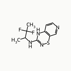 CC(NC1=NSc2cnccc2N1)C(C)(F)F